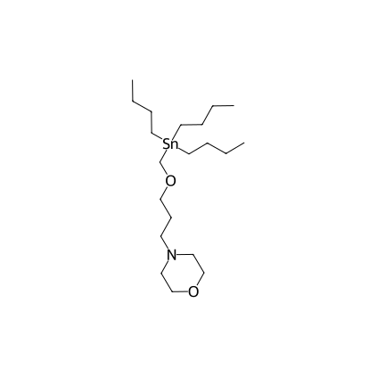 CCC[CH2][Sn]([CH2]CCC)([CH2]CCC)[CH2]OCCCN1CCOCC1